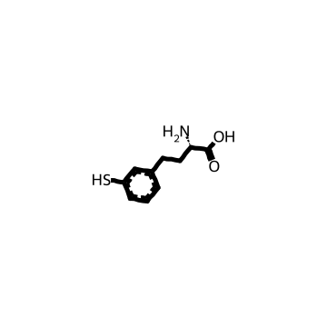 N[C@@H](CCc1cccc(S)c1)C(=O)O